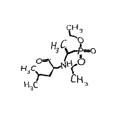 CCOP(=O)(OCC)C(C)N[C@H]([C]=O)CC(C)C